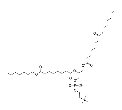 CCCCCCCOC(=O)CCCCCCC(=O)OCC(COP(=O)(O)OCC[N+](C)(C)C)OC(=O)CCCCCCC(=O)OCCCCCCC